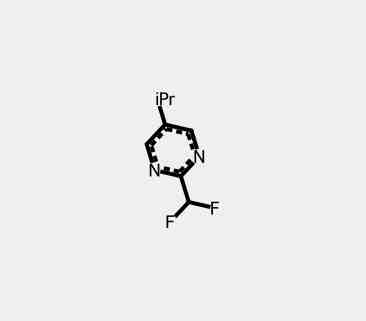 CC(C)c1cnc(C(F)F)nc1